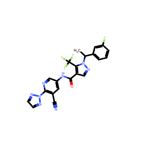 CC(c1cccc(F)c1)n1ncc(C(=O)Nc2cnc(-n3nccn3)c(C#N)c2)c1C(F)(F)F